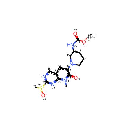 Cn1c(=O)c(N2CCCC(NC(=O)OC(C)(C)C)C2)cc2cnc([S+](C)[O-])nc21